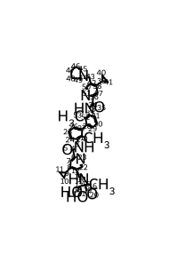 Cc1c(NC(=O)c2cc(C3CC3)c(CNC(C)(CO)C(=O)O)cn2)cccc1-c1cccc(NC(=O)c2cc(C3CC3)c(CN3CCCCC3)cn2)c1C